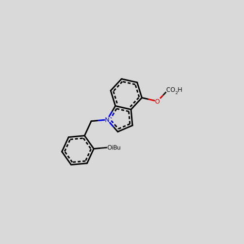 CC(C)COc1ccccc1Cn1ccc2c(OC(=O)O)cccc21